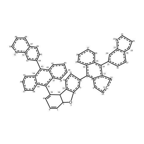 C1=CC2Oc3cc(-c4c5ccccc5c(-c5ccc6cccnc6c5)c5ccccc45)ccc3C2C(c2c3ccccc3c(-c3ccc4cccnc4c3)c3ccccc23)=C1